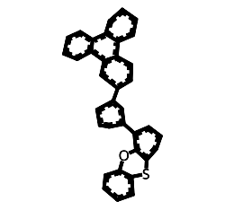 c1cc(-c2ccc3c4ccccc4c4ccccc4c3c2)cc(-c2cccc3c2Oc2ccccc2S3)c1